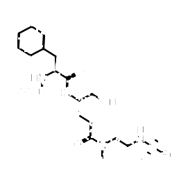 CCS(=O)(=O)NCCN(C)C(=O)CC[C@@H](CO)NC(=O)[C@H](CC1CCCCC1)NC(=O)O